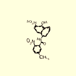 Cc1ccc([N+](=O)[O-])c(C(=O)Nc2cccc3c(O)c(S(=O)(=O)O)ccc23)c1